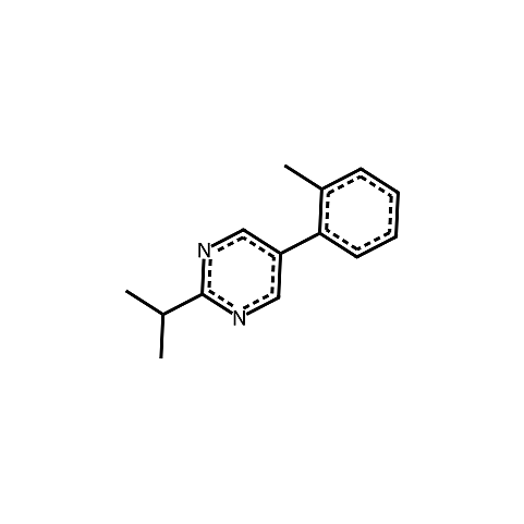 Cc1ccccc1-c1cnc(C(C)C)nc1